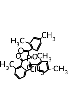 Cc1ccc(C(=O)P(=O)(C(=O)c2ccc(C)cc2C)C(=O)c2c(C)cccc2C)c(C)c1